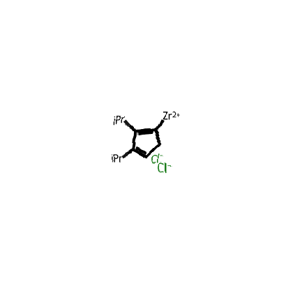 CC(C)C1=CC[C]([Zr+2])=C1C(C)C.[Cl-].[Cl-]